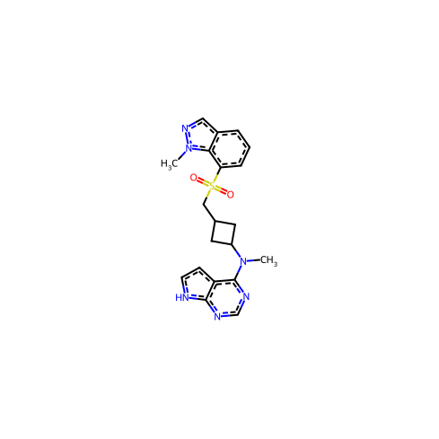 CN(c1ncnc2[nH]ccc12)C1CC(CS(=O)(=O)c2cccc3cnn(C)c23)C1